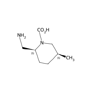 C[C@H]1CC[C@@H](CN)N(C(=O)O)C1